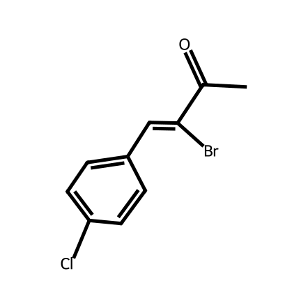 CC(=O)C(Br)=Cc1ccc(Cl)cc1